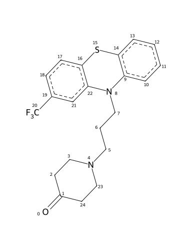 O=C1CCN(CCCN2c3ccccc3Sc3ccc(C(F)(F)F)cc32)CC1